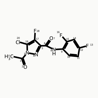 CC(=O)n1nc(C(=O)Nc2ccc(F)cc2F)c(F)c1Cl